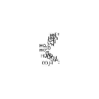 CCNC(=O)Nc1ncnc2c1ncn2[C@@H]1O[C@H](COP(=O)(O)OP(=O)(O)CC(N)C(=O)O)C(O)[C@@H]1O